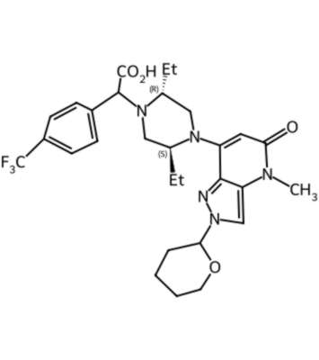 CC[C@H]1CN(C(C(=O)O)c2ccc(C(F)(F)F)cc2)[C@H](CC)CN1c1cc(=O)n(C)c2cn(C3CCCCO3)nc12